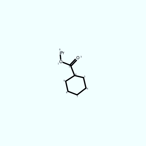 CC(C)OC(=O)C1C[CH]CCC1